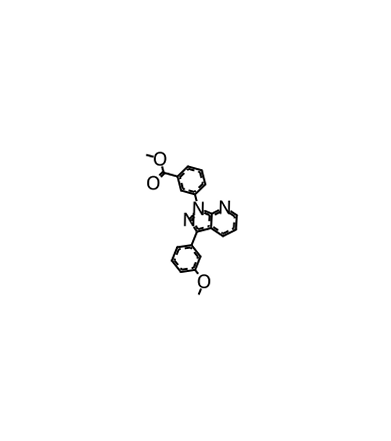 COC(=O)c1cccc(-n2nc(-c3cccc(OC)c3)c3cccnc32)c1